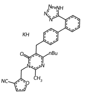 CCCCc1nc(C)n(Cc2occc2C#N)c(=O)c1Cc1ccc(-c2ccccc2-c2nnn[nH]2)cc1.[KH]